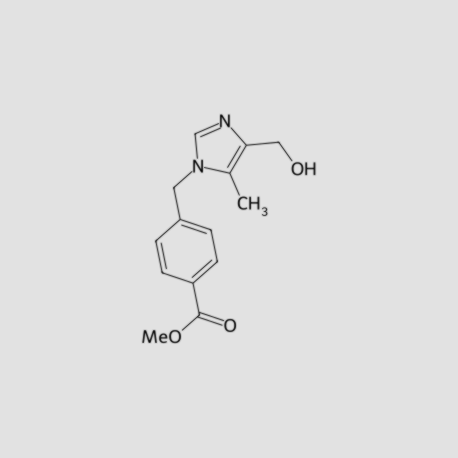 COC(=O)c1ccc(Cn2cnc(CO)c2C)cc1